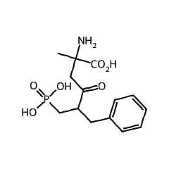 CC(N)(CC(=O)C(Cc1ccccc1)CP(=O)(O)O)C(=O)O